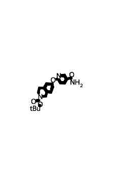 CC(C)(C)OC(=O)N1CCc2cc(Oc3ccc(C(N)=O)cn3)ccc2C1